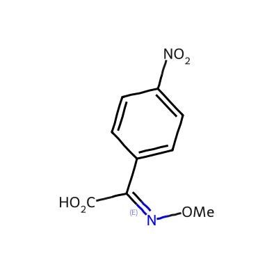 CO/N=C(/C(=O)O)c1ccc([N+](=O)[O-])cc1